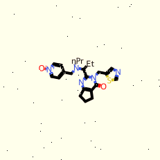 CCCN(Cc1cc[n+]([O-])cc1)C(CC)c1nc2c(c(=O)n1Cc1cncs1)CCC2